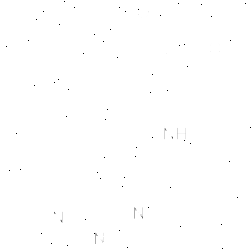 COC(=O)c1cc2c(C)nnnc2[nH]1